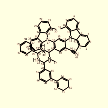 Cc1cccc2c3cccc(C)c3n(-c3cc(-n4c5c(C)cccc5c5cccc(C)c54)c(C4NC(c5ccccc5)NC(c5cccc(C6=CCCC=C6)c5)N4C)cc3C#N)c12